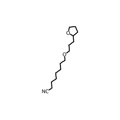 N#CCCCCCCCOCCCC1CCCO1